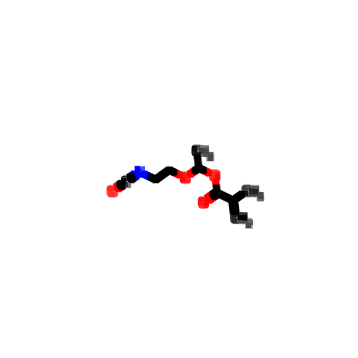 C=C(C)C(=O)OC(C)OCCN=C=O